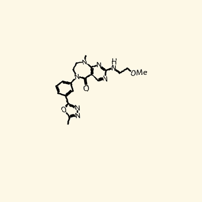 COCCNc1ncc2c(n1)N(C)CCN(c1cccc(-c3nnc(C)o3)c1)C2=O